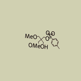 COCC(CO)(COC)COS(=O)(=O)c1ccc(C)cc1